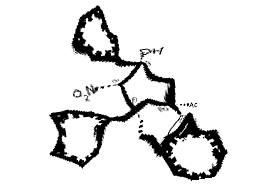 CC(=O)[C@@]1(C(=O)O)C[C@](O)(c2ccccc2)[C@@H]([N+](=O)[O-])[C@]1(Cc1ccccc1)c1ccccc1